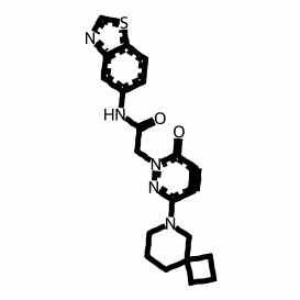 O=C(Cn1nc(N2CCCC3(CCC3)C2)c#cc1=O)Nc1ccc2scnc2c1